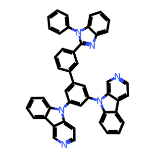 c1ccc(-n2c(-c3cccc(-c4cc(-n5c6ccccc6c6cnccc65)cc(-n5c6ccccc6c6ccncc65)c4)c3)nc3ccccc32)cc1